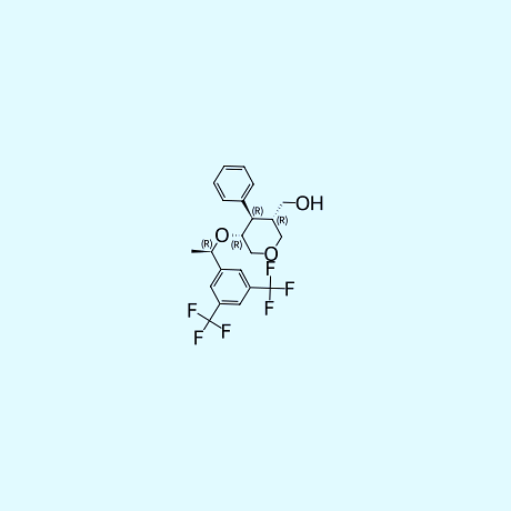 C[C@@H](O[C@H]1COC[C@@H](CO)[C@@H]1c1ccccc1)c1cc(C(F)(F)F)cc(C(F)(F)F)c1